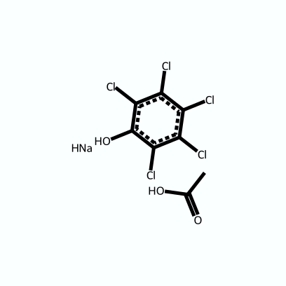 CC(=O)O.Oc1c(Cl)c(Cl)c(Cl)c(Cl)c1Cl.[NaH]